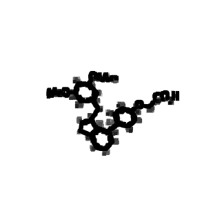 COc1cc(CC2=CCc3cccc(-c4ccc(OCC(=O)O)cc4)c32)cc(OC)c1